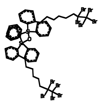 BrC(Br)(Br)C(Br)(Br)CCCCCCc1ccccc1[Si](O[Si](c1ccccc1)(c1ccccc1)c1ccccc1CCCCCCC(Br)(Br)C(Br)(Br)Br)(c1ccccc1)c1ccccc1